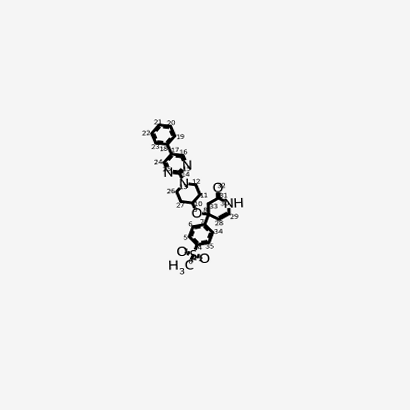 CS(=O)(=O)c1ccc(C2(OC3CCN(c4ncc(-c5ccccc5)cn4)CC3)C=CNC(=O)C2)cc1